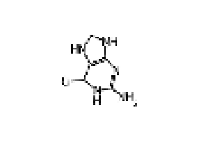 NC1=NC2=C(NCN2)C(Cl)N1